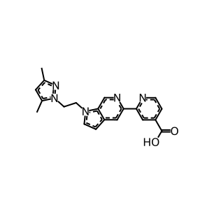 Cc1cc(C)n(CCn2ccc3cc(-c4cc(C(=O)O)ccn4)ncc32)n1